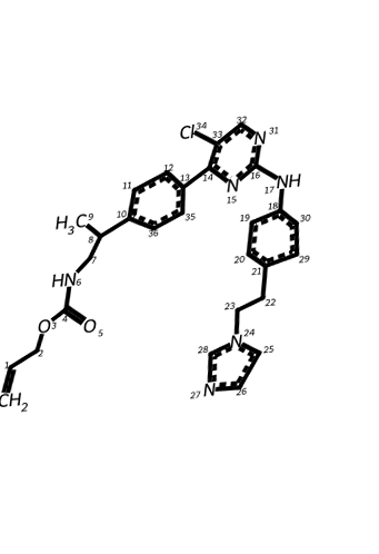 C=CCOC(=O)NCC(C)c1ccc(-c2nc(Nc3ccc(CCn4ccnc4)cc3)ncc2Cl)cc1